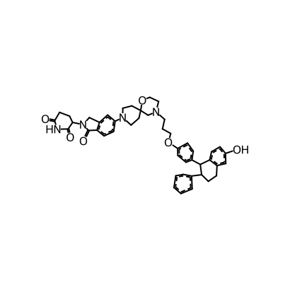 O=C1CCC(N2Cc3cc(N4CCC5(CC4)CN(CCCOc4ccc(C6c7ccc(O)cc7CCC6c6ccccc6)cc4)CCO5)ccc3C2=O)C(=O)N1